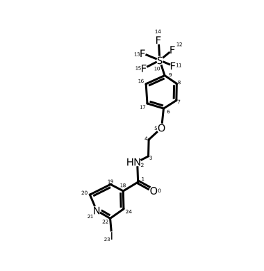 O=C(NCCOc1ccc(S(F)(F)(F)(F)F)cc1)c1ccnc(I)c1